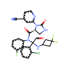 N#Cc1ccnc(N2C(=O)NC[C@H]2C(=O)N(c2cccc(F)c2)[C@@](C=O)(NC2CC(F)(F)C2)c2ccccc2Cl)c1